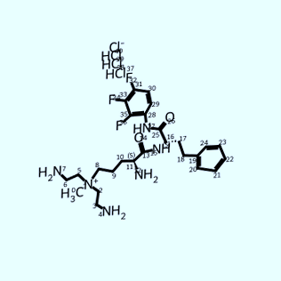 C[N+](CCN)(CCN)CCC[C@H](N)C(=O)N[C@@H](CCc1ccccc1)C(=O)Nc1ccc(F)c(F)c1F.Cl.Cl.Cl.[Cl-]